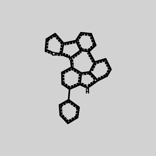 c1ccc(-c2ccc3c4c2[nH]c2cccc(c5cccc6c7ccccc7n3c56)c24)cc1